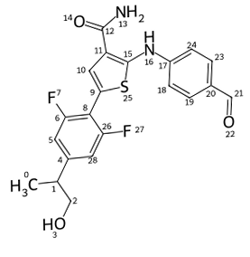 CC(CO)c1cc(F)c(-c2cc(C(N)=O)c(Nc3ccc(C=O)cc3)s2)c(F)c1